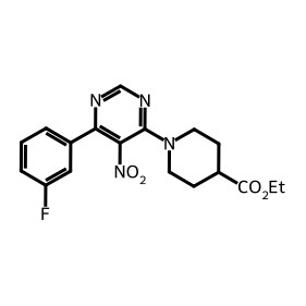 CCOC(=O)C1CCN(c2ncnc(-c3cccc(F)c3)c2[N+](=O)[O-])CC1